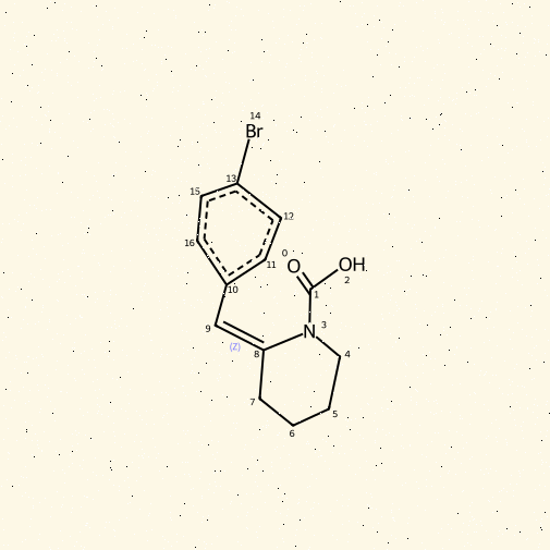 O=C(O)N1CCCC/C1=C/c1ccc(Br)cc1